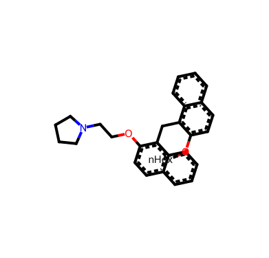 CCCCCCOc1ccc2ccccc2c1Cc1c(OCCN2CCCC2)ccc2ccccc12